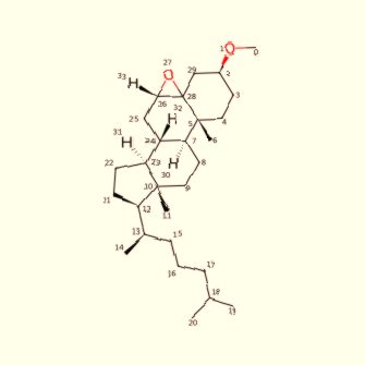 CO[C@H]1CC[C@]2(C)[C@H]3CC[C@]4(C)[C@@H]([C@H](C)CCCC(C)C)CC[C@H]4[C@@H]3C[C@@H]3OC32C1